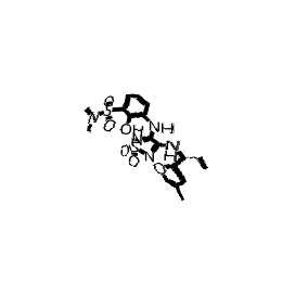 CC[C@@H](NC1=NS(=O)(=O)N=C1Nc1cccc(S(=O)(=O)N(C)C)c1O)c1cc(C)co1